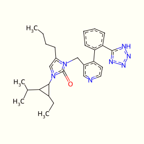 CCCCc1cn(C2C(CC)C2C(C)C)c(=O)n1Cc1cnccc1-c1ccccc1-c1nnn[nH]1